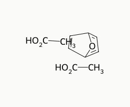 CC(=O)O.CC(=O)O.c1cc2ccc1o2